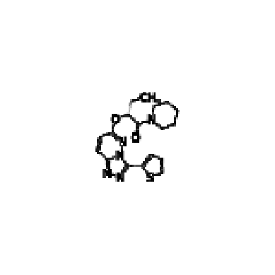 CC[C@@H](Oc1ccc2nnc(-c3cccs3)n2n1)C(=O)N1CCCCC1